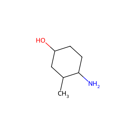 CC1CC(O)CCC1N